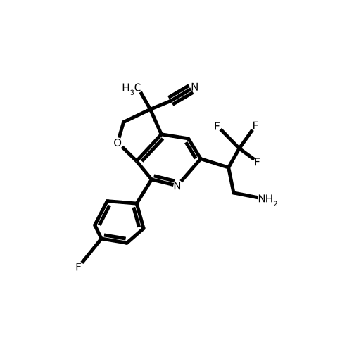 CC1(C#N)COc2c1cc(C(CN)C(F)(F)F)nc2-c1ccc(F)cc1